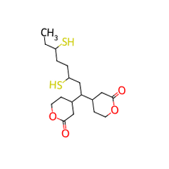 CCC(S)CCC(S)CC(C1CCOC(=O)C1)C1CCOC(=O)C1